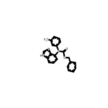 O=C(OCc1ccccc1)N(c1cccc(C(F)(F)F)c1)c1cccc2[nH]cnc12